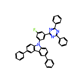 Fc1cc(-c2nc(-c3ccccc3)nc(-c3ccccc3)n2)cc(-n2c3ccc(-c4ccccc4)cc3c3cc(-c4ccccc4)ccc32)c1